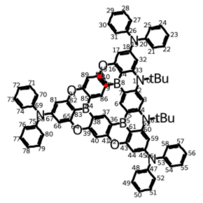 CC(C)(C)N1c2cc3c(cc2B2c4ccccc4Oc4cc(N(c5ccccc5)c5ccccc5)cc1c42)B1c2cc4c(cc2Oc2cc(N(c5ccccc5)c5ccccc5)cc(c21)N3C(C)(C)C)Oc1cc(N(c2ccccc2)c2ccccc2)cc2c1B4c1ccccc1O2